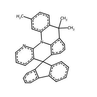 Cc1ccc2c(c1)N1c3ncccc3C3(c4ccccc4-c4ccccc43)c3cccc(c31)C2(C)C